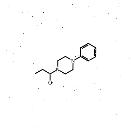 CCC([O])N1CCN(c2ccccc2)CC1